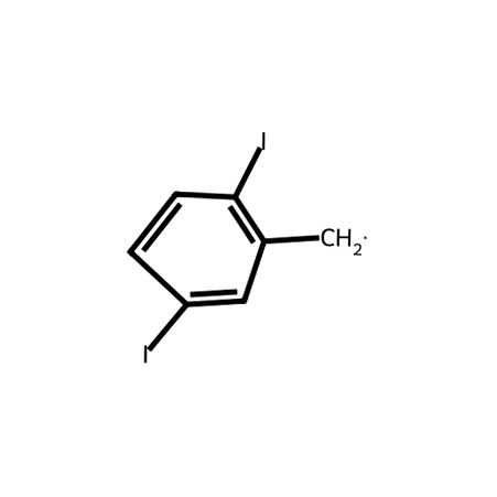 [CH2]c1cc(I)ccc1I